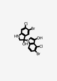 Oc1cn(C2(O)CNc3cc(Cl)c(Br)cc32)c2ccc(Br)c(Cl)c12